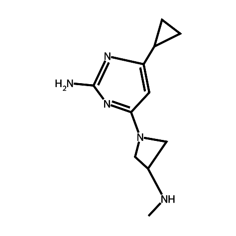 CNC1CN(c2cc(C3CC3)nc(N)n2)C1